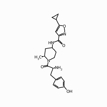 C[C@H]1CC(NC(=O)c2cc(C3CC3)on2)CCN1C(=O)[C@@H](N)Cc1ccc(O)cc1